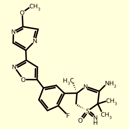 COc1cnc(-c2cc(-c3ccc(F)c([C@]4(C)C[S@](=N)(=O)C(C)(C)C(N)=N4)c3)on2)cn1